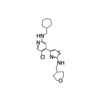 Clc1cnc(NCC2CCCCC2)cc1-c1csc(NCC2CCOCC2)n1